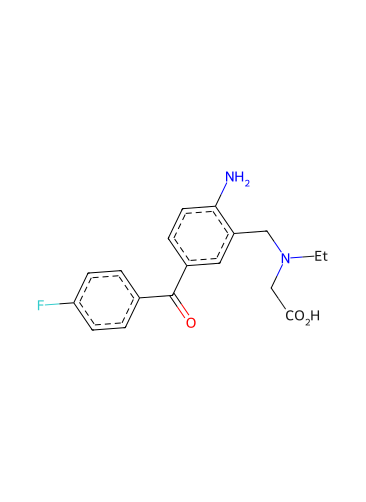 CCN(CC(=O)O)Cc1cc(C(=O)c2ccc(F)cc2)ccc1N